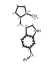 CC(C)Oc1ccc2c(c1)NC[C@H]2C[C@H]1CCCN1C